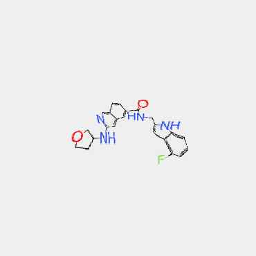 O=C(NCc1cc2c(F)cccc2[nH]1)c1ccc2cnc(NC3CCOC3)cc2c1